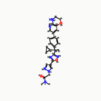 CN(C)C(=O)Cn1cc(-c2nc([C@@](C)(c3ccc(-c4cnc5c(c4)OCCN5)cc3)C3CC3)no2)cn1